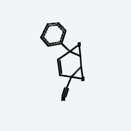 N#CC12C=CC3(c4ccccc4)SC3C1S2